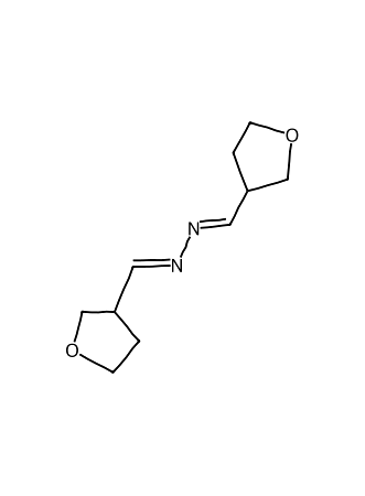 C(=NN=CC1CCOC1)C1CCOC1